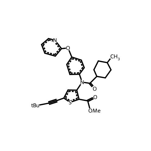 COC(=O)c1sc(C#CC(C)(C)C)cc1N(C(=O)C1CCC(C)CC1)c1ccc(Oc2ccccn2)cc1